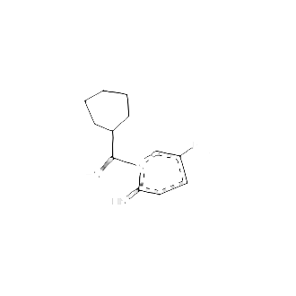 Bc1ccc(=N)n(C(=N)C2CCCCC2)c1